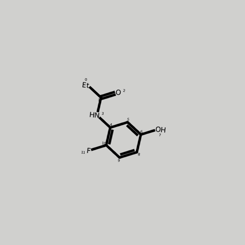 CCC(=O)Nc1cc(O)ccc1F